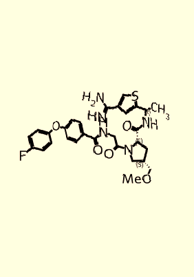 COC[C@H]1C[C@@H](C(=O)N[C@H](C)c2cc(C(=N)N)cs2)N(C(=O)CNC(=O)c2ccc(Oc3ccc(F)cc3)cc2)C1